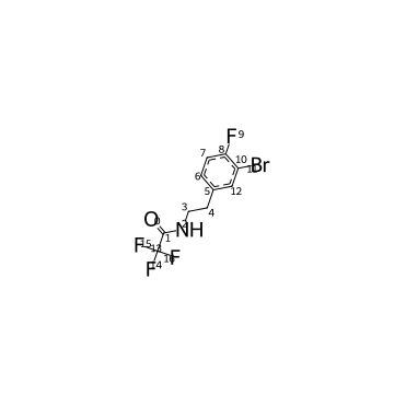 O=C(NCCc1ccc(F)c(Br)c1)C(F)(F)F